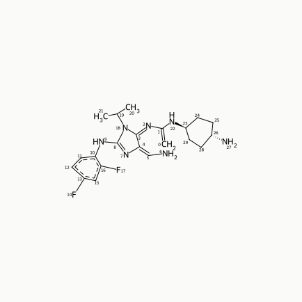 C=C(/N=C1\C(=C/N)N=C(Nc2ccc(F)cc2F)N1C(C)C)N[C@H]1CC[C@H](N)CC1